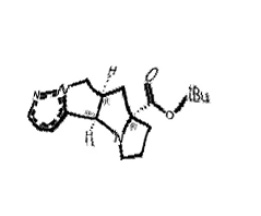 CC(C)(C)OC(=O)[C@]12CCCN1[C@H]1c3ccnn3C[C@H]1C2